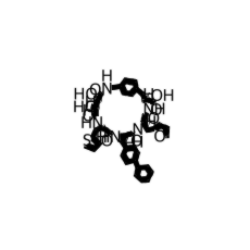 O=C(O)[C@@H]1Cc2ccc(cc2)NC(=O)[C@H](O)[C@@H](O)C(=O)N[C@H](Cc2cccs2)C(=O)N[C@@H](Cc2ccc(-c3ccccc3)cc2)C(=O)N[C@H](Cc2ccco2)C(=O)N1